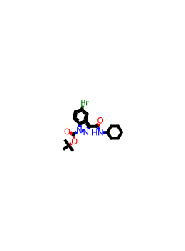 CC(C)(C)OC(=O)n1nc(C(=O)NC2CCCCC2)c2cc(Br)ccc21